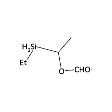 CC[SiH2]C(C)O[C]=O